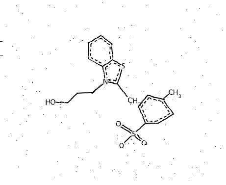 Cc1ccc(S(=O)(=O)[O-])cc1.Cc1sc2ccccc2[n+]1CCCO